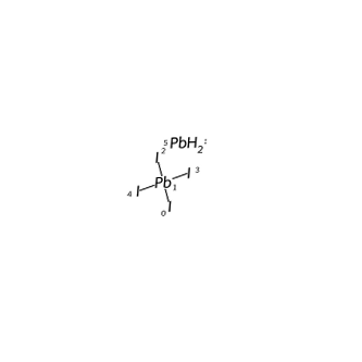 [I][Pb]([I])([I])[I].[PbH2]